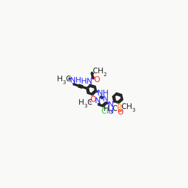 C=CC(=O)Nc1cc(Nc2ncc(Cl)c(Nc3ccccc3P(C)(C)=O)n2)c(OC)cc1C#CCNC